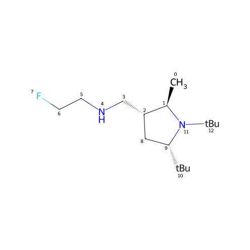 C[C@@H]1[C@@H](CNCCF)C[C@@H](C(C)(C)C)N1C(C)(C)C